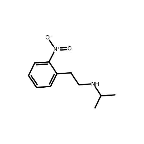 CC(C)NCCc1ccccc1[N+](=O)[O-]